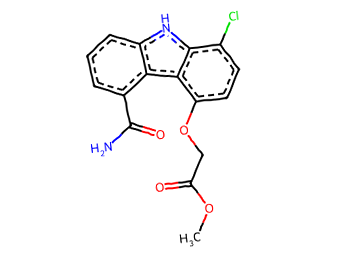 COC(=O)COc1ccc(Cl)c2[nH]c3cccc(C(N)=O)c3c12